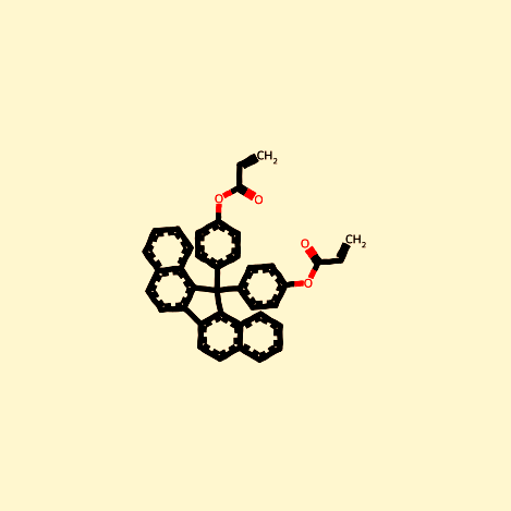 C=CC(=O)Oc1ccc(C2(c3ccc(OC(=O)C=C)cc3)c3c(ccc4ccccc34)-c3ccc4ccccc4c32)cc1